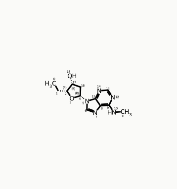 CC[C@H]1O[C@@H](n2cnc3c(NC)ncnc32)C[C@H]1O